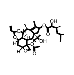 C=CC1O[C@H]2C[C@H]3OC[C@@]3(OC(C)=O)[C@H]3[C@H](C)[C@]4(C(C)(C)O)CC(OC(=O)C(O)[C@@H](C)CC(C)C)C(C)=C4[C@H](C)[C@H](O1)[C@]23C